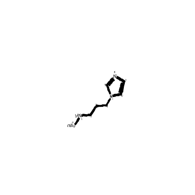 CCCCNCCCn1ccnc1